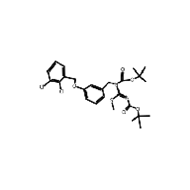 CSC(=NC(=O)OC(C)(C)C)N(Cc1cccc(OCc2cccc(Cl)c2Cl)c1)C(=O)OC(C)(C)C